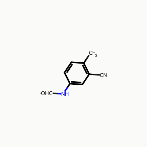 N#Cc1cc(N[C]=O)ccc1C(F)(F)F